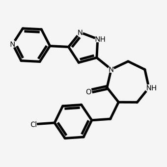 O=C1C(Cc2ccc(Cl)cc2)CNCCN1c1cc(-c2ccncc2)n[nH]1